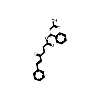 O=C(O)C[C@@H](OC(=O)CCC(=O)C=Cc1ccccc1)c1ccccc1